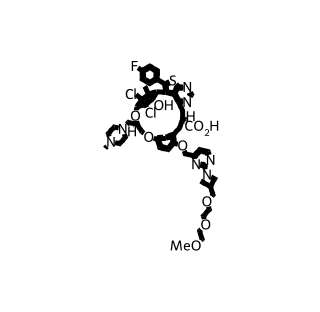 COCCOCCOCC1CN(c2nccc(COc3ccc4cc3C[C@@H](C(=O)O)Cc3ncnc5sc(-c6ccc(F)cc6)c(c35)-c3c(C)c(Cl)c(c(Cl)c3O)O[C@H](CN3CCN(C)CC3)CO4)n2)C1